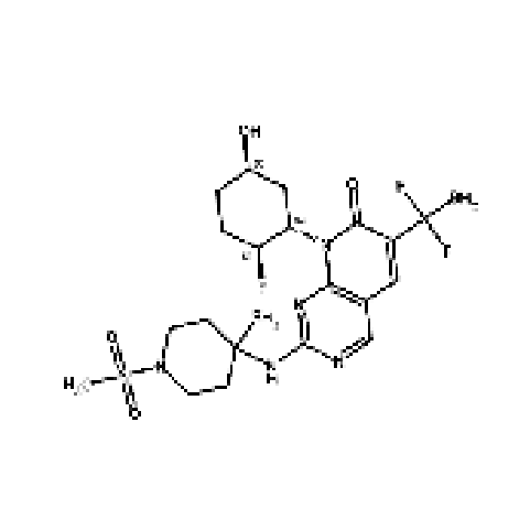 BC1(Nc2ncc3cc(C(B)(F)F)c(=O)n([C@H]4C[C@H](O)CC[C@@H]4F)c3n2)CCN(S(C)(=O)=O)CC1